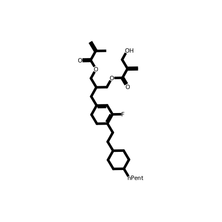 C=C(C)C(=O)OCC(COC(=O)C(=C)CO)CC1=CC(F)=C(CCC2CCC(CCCCC)CC2)CC1